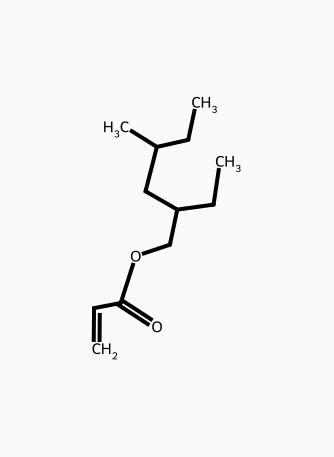 C=CC(=O)OCC(CC)CC(C)CC